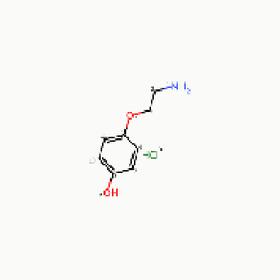 Cl.NCCOc1ccc(O)cc1